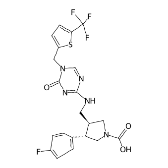 O=C(O)N1C[C@H](CNc2ncn(Cc3ccc(C(F)(F)F)s3)c(=O)n2)[C@@H](c2ccc(F)cc2)C1